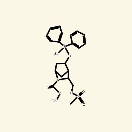 CC(C)(C)OC(=O)N1C2CC(O[Si](c3ccccc3)(c3ccccc3)C(C)(C)C)C(C2)C1COS(C)(=O)=O